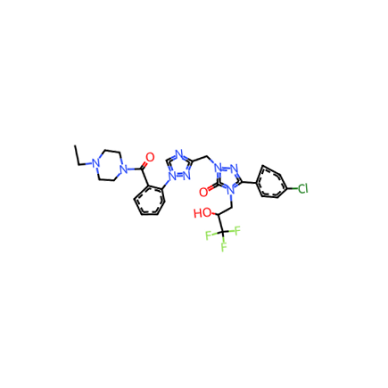 CCN1CCN(C(=O)c2ccccc2-n2cnc(Cn3nc(-c4ccc(Cl)cc4)n(CC(O)C(F)(F)F)c3=O)n2)CC1